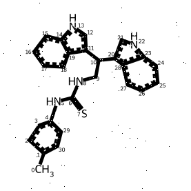 Cc1ccc(NC(=S)NCC(c2c[nH]c3ccccc23)c2c[nH]c3ccccc23)cc1